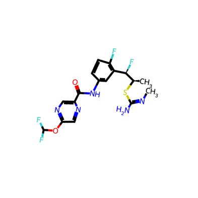 C/N=C(/N)S[C@H](C)[C@H](F)c1cc(NC(=O)c2cnc(OC(F)F)cn2)ccc1F